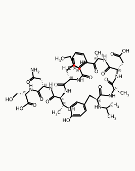 CC[C@H](C)[C@H](NC(=O)[C@H](C)NC(=O)[C@H](CC(=O)O)NC(=O)[C@H](C)NC(=O)[C@H](Cc1ccc(O)cc1)NC(C)C)C(=O)N[C@@H](Cc1ccccc1)C(=O)N[C@H](C(=O)N[C@@H](CC(N)=O)C(=O)N[C@@H](CO)C(=O)O)[C@@H](C)O